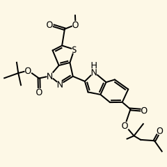 COC(=O)c1cc2c(s1)c(-c1cc3cc(C(=O)OC(C)(C)CC(C)=O)ccc3[nH]1)nn2C(=O)OC(C)(C)C